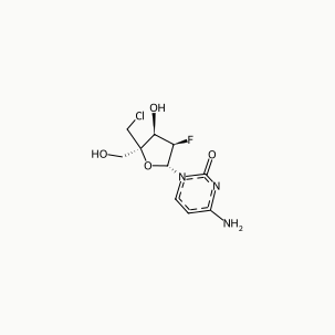 Nc1ccn([C@@H]2O[C@@](CO)(CCl)[C@@H](O)[C@H]2F)c(=O)n1